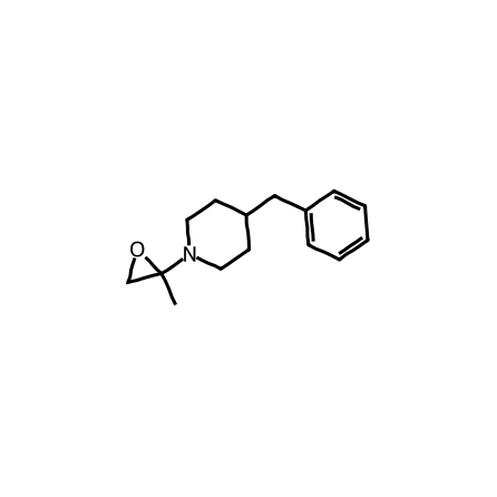 CC1(N2CCC(Cc3ccccc3)CC2)CO1